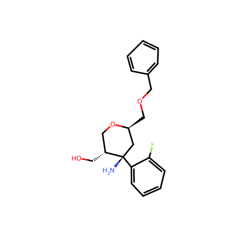 N[C@]1(c2ccccc2F)C[C@H](COCc2ccccc2)OC[C@H]1CO